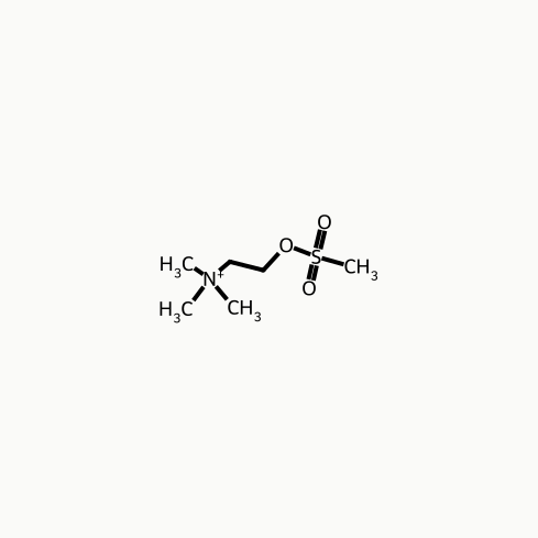 C[N+](C)(C)CCOS(C)(=O)=O